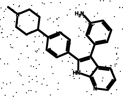 CN1CCC(c2ccc(-c3[nH]c4ncccc4c3-c3cccc(N)c3)cc2)CC1